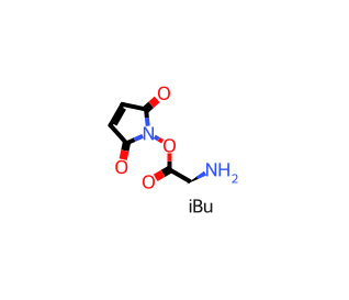 CC[C@H](C)[C@H](N)C(=O)ON1C(=O)C=CC1=O